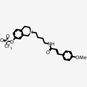 COc1ccc(C=CC(=O)NCCCCN2CCc3ccc(OS(=O)(=O)C(F)(F)F)cc3C2)cc1